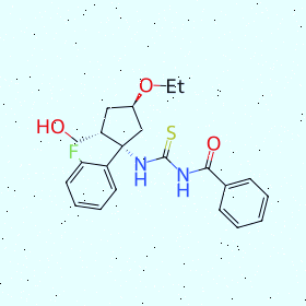 CCO[C@@H]1C[C@@H](CO)[C@](NC(=S)NC(=O)c2ccccc2)(c2ccccc2F)C1